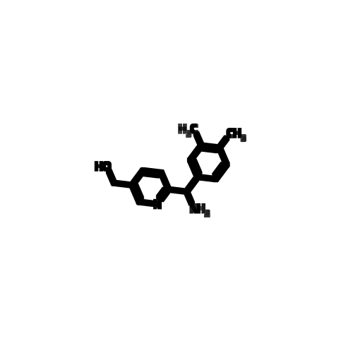 Cc1ccc(C(N)c2ccc(CO)cn2)cc1C